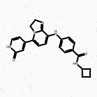 O=C(NC1CCC1)c1ccc(NC2=CC=C(c3cc[nH]c(=O)c3)N3CCN=C23)cc1